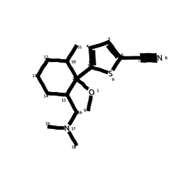 COC1(c2ccc(C#N)s2)C(C)CCCC1CN(C)C